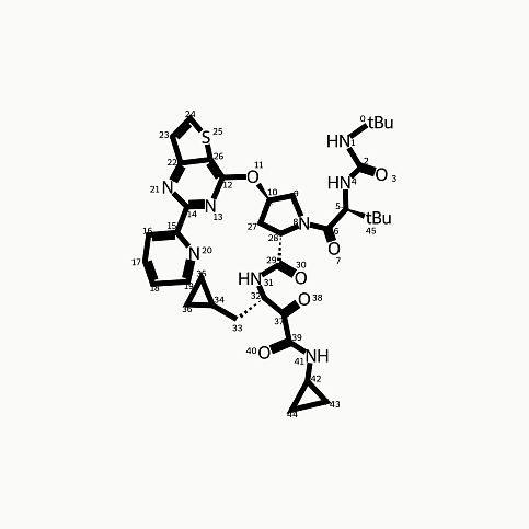 CC(C)(C)NC(=O)N[C@H](C(=O)N1C[C@H](Oc2nc(-c3ccccn3)nc3ccsc23)C[C@H]1C(=O)N[C@@H](CC1CC1)C(=O)C(=O)NC1CC1)C(C)(C)C